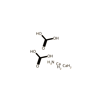 N.O=C(O)O.O=C(O)O.[CaH2].[CaH2]